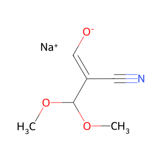 COC(OC)C(C#N)=C[O-].[Na+]